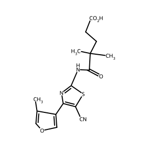 Cc1cocc1-c1nc(NC(=O)C(C)(C)CCC(=O)O)sc1C#N